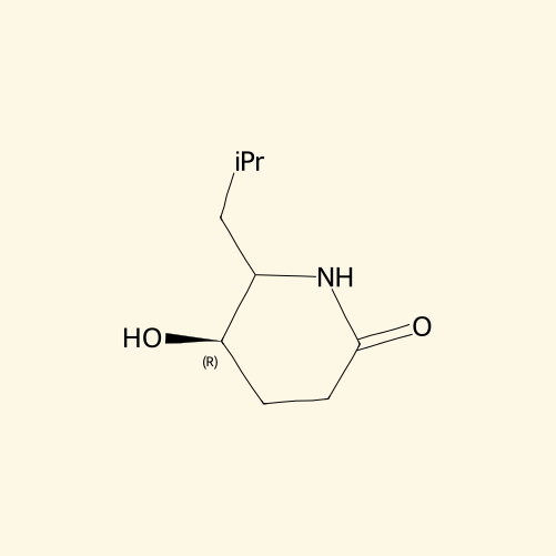 CC(C)CC1NC(=O)CC[C@H]1O